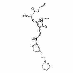 C=CCOC(=O)C(=C=c1sc(=C=CNc2cccc(CCCN3CCCCC3)c2)c(=O)n1CC)C#N